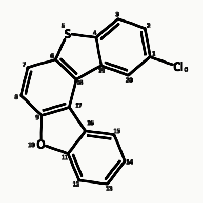 Clc1ccc2sc3ccc4oc5ccccc5c4c3c2c1